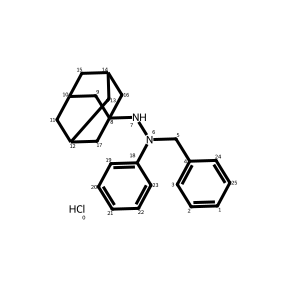 Cl.c1ccc(CN(NC23CC4CC(CC(C4)C2)C3)c2ccccc2)cc1